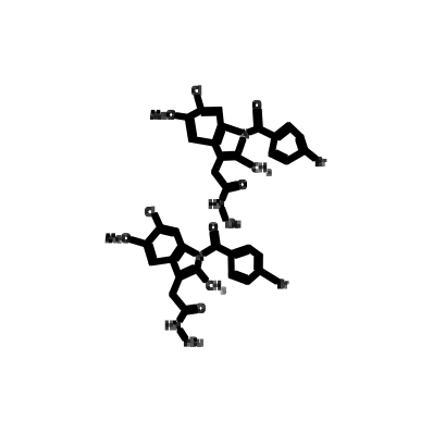 CCC(C)NC(=O)Cc1c(C)n(C(=O)c2ccc(Br)cc2)c2cc(Cl)c(OC)cc12.CCCCNC(=O)Cc1c(C)n(C(=O)c2ccc(Br)cc2)c2cc(Cl)c(OC)cc12